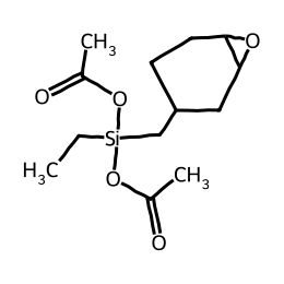 CC[Si](CC1CCC2OC2C1)(OC(C)=O)OC(C)=O